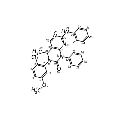 COc1ccc(Cl)c(N2C(=O)N(c3ccccc3)c3nc(Nc4ccccc4)ncc3C2C)c1